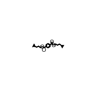 O=C(OCCCC1CC1)c1ccc(C(=O)OCCCC2CC2)cc1